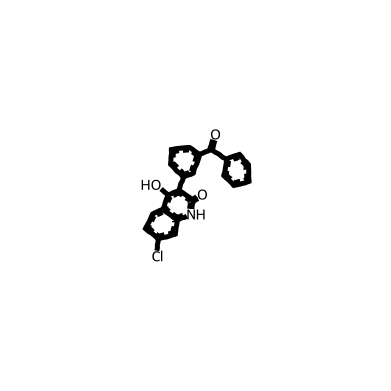 O=C(c1ccccc1)c1cccc(-c2c(O)c3ccc(Cl)cc3[nH]c2=O)c1